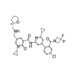 O=C(Nc1cc(-c2ccc(Cl)cc2C(=O)N2CC(F)(F)C2)cc(C2CC2)n1)c1cc(CNC[C@@H]2CCCO2)cn(C2CC2)c1=O